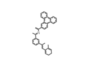 C=C(/N=C(\C)c1cccc(/C(C)=C/C2=CCCC=C2C)c1)c1ccc2c3ccccc3c3ccccc3c2c1